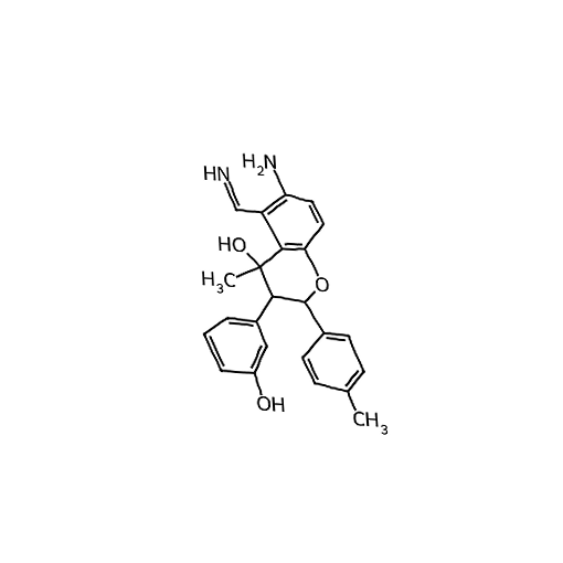 Cc1ccc(C2Oc3ccc(N)c(C=N)c3C(C)(O)C2c2cccc(O)c2)cc1